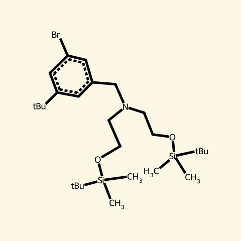 CC(C)(C)c1cc(Br)cc(CN(CCO[Si](C)(C)C(C)(C)C)CCO[Si](C)(C)C(C)(C)C)c1